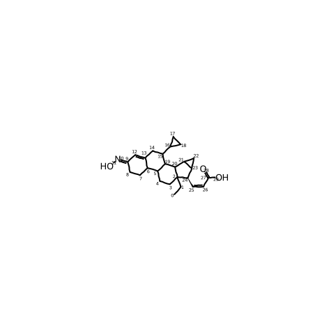 CCC12CCC3C4CC/C(=N\O)C=C4CC(C4CC4)C3C1C1CC1[C@H]2/C=C\C(=O)O